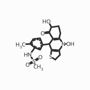 Cc1ccc(C2C3=C(CCS3)N(O)C3=C2C(=O)C(O)CC3)cc1NS(C)(=O)=O